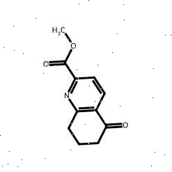 COC(=O)c1ccc2c(n1)CCCC2=O